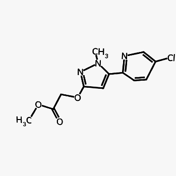 COC(=O)COc1cc(-c2ccc(Cl)cn2)n(C)n1